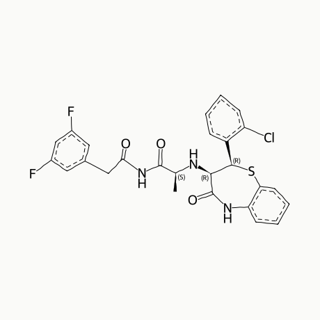 C[C@H](N[C@@H]1C(=O)Nc2ccccc2S[C@@H]1c1ccccc1Cl)C(=O)NC(=O)Cc1cc(F)cc(F)c1